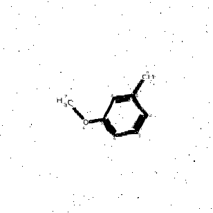 [CH]c1cccc(OC)c1